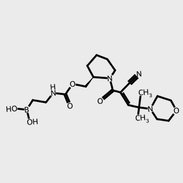 CC(C)(C=C(C#N)C(=O)N1CCCC[C@@H]1COC(=O)NCCB(O)O)N1CCOCC1